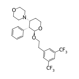 FC(F)(F)c1cc(CCO[C@@H]2OCC[C@@H](N3CCOCC3)[C@H]2c2ccccc2)cc(C(F)(F)F)c1